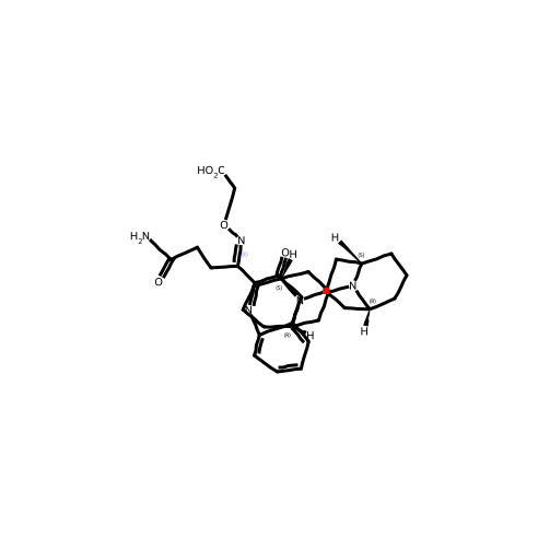 NC(=O)CC/C(=N\OCC(=O)O)c1nc2ccccc2n(C2C[C@H]3CCC[C@@H](C2)N3C2C[C@H]3CCC[C@@H](C2)C3)c1=O